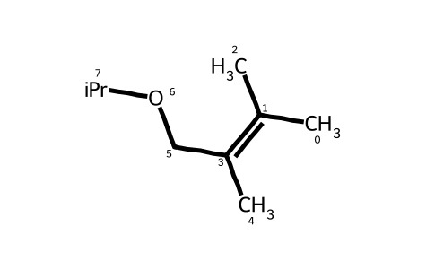 CC(C)=C(C)COC(C)C